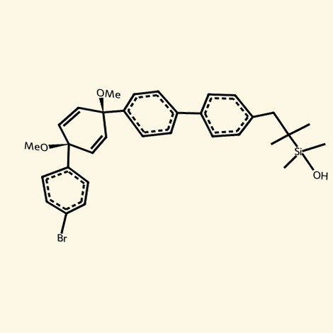 CO[C@]1(c2ccc(Br)cc2)C=C[C@@](OC)(c2ccc(-c3ccc(CC(C)(C)[Si](C)(C)O)cc3)cc2)C=C1